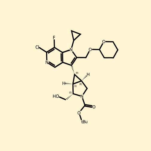 CC(C)(C)OC(=O)N1C[C@@H]2[C@@H](c3c(COC4CCCCO4)n(C4CC4)c4c(F)c(Cl)ncc34)[C@@H]2[C@H]1CO